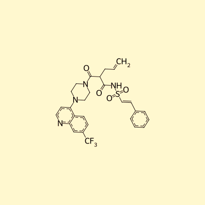 C=CCC(C(=O)NS(=O)(=O)/C=C/c1ccccc1)C(=O)N1CCN(c2ccnc3cc(C(F)(F)F)ccc23)CC1